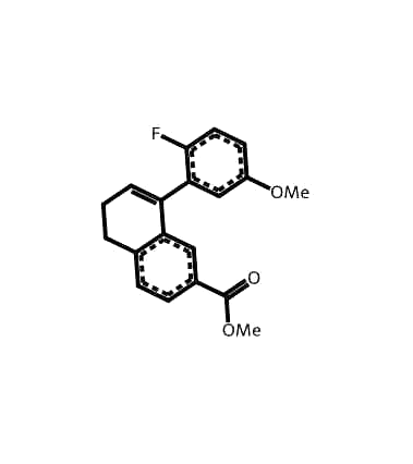 COC(=O)c1ccc2c(c1)C(c1cc(OC)ccc1F)=CCC2